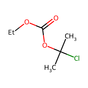 CCOC(=O)OC(C)(C)Cl